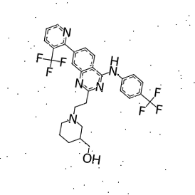 OCC1CCCN(CCc2nc(Nc3ccc(C(F)(F)F)cc3)c3ccc(-c4ncccc4C(F)(F)F)cc3n2)C1